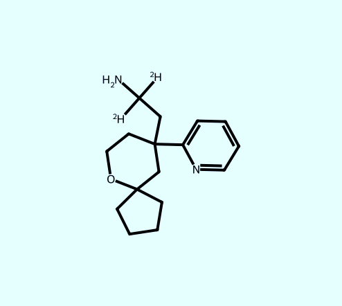 [2H]C([2H])(N)CC1(c2ccccn2)CCOC2(CCCC2)C1